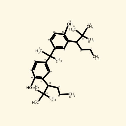 CCCC(c1cc(C(C)(C)c2ccc(O)c(C(CCC)C(C)(C)C)c2)ccc1O)C(C)(C)C